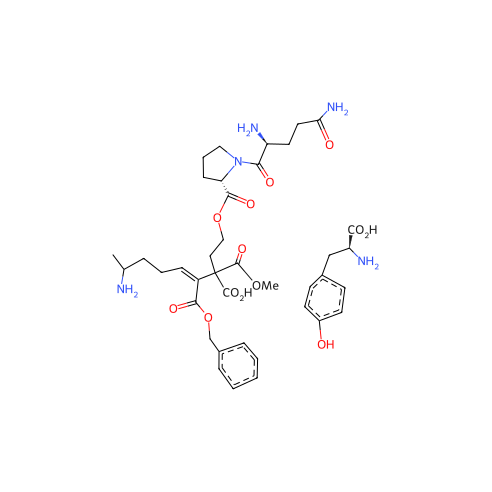 COC(=O)C(CCOC(=O)[C@@H]1CCCN1C(=O)[C@@H](N)CCC(N)=O)(C(=O)O)/C(=C/CCC(C)N)C(=O)OCc1ccccc1.N[C@@H](Cc1ccc(O)cc1)C(=O)O